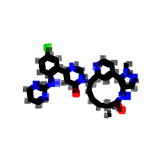 C[C@@H]1CCC[C@H](n2cnc(-c3cc(Cl)ccc3Nc3ncccn3)cc2=O)c2cc(ccn2)-c2c(cnn2C)NC1=O